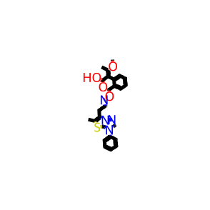 COC(C)=C(C(=O)O)c1ccccc1CON=CCC1=C(C)SC2N1N=CN2c1ccccc1